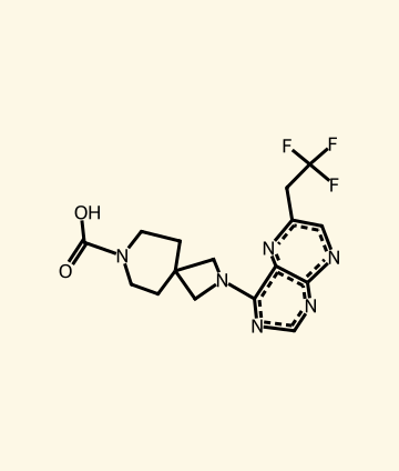 O=C(O)N1CCC2(CC1)CN(c1ncnc3ncc(CC(F)(F)F)nc13)C2